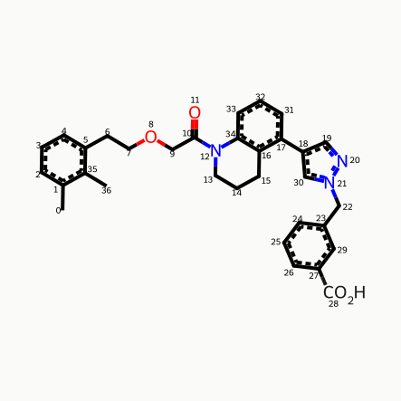 Cc1cccc(CCOCC(=O)N2CCCc3c(-c4cnn(Cc5cccc(C(=O)O)c5)c4)cccc32)c1C